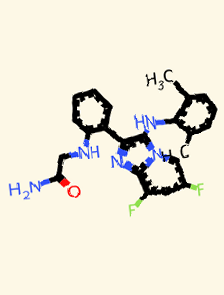 Cc1cccc(C)c1Nc1c(-c2ccccc2NCC(N)=O)nc2c(F)cc(F)cn12